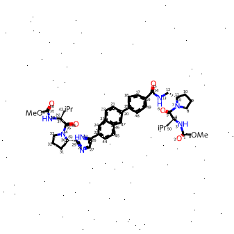 COC(=O)N[C@H](C(=O)N1CCC[C@H]1CNC(=O)c1ccc(-c2ccc3cc(-c4cnc([C@@H]5CCCN5C(=O)[C@@H](NC(=O)OC)C(C)C)[nH]4)ccc3c2)cc1)C(C)C